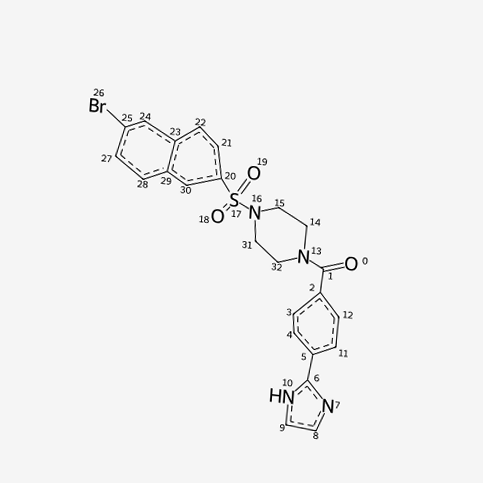 O=C(c1ccc(-c2ncc[nH]2)cc1)N1CCN(S(=O)(=O)c2ccc3cc(Br)ccc3c2)CC1